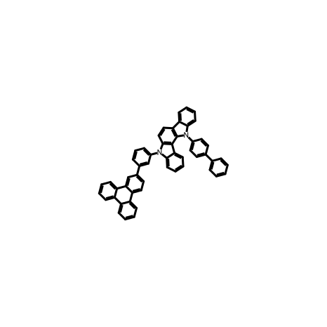 c1ccc(-c2ccc(-n3c4ccccc4c4ccc5c(c6ccccc6n5-c5cccc(-c6ccc7c8ccccc8c8ccccc8c7c6)c5)c43)cc2)cc1